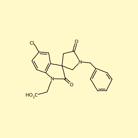 O=C(O)CN1C(=O)C2(CC(=O)N(Cc3ccccc3)C2)c2cc(Cl)ccc21